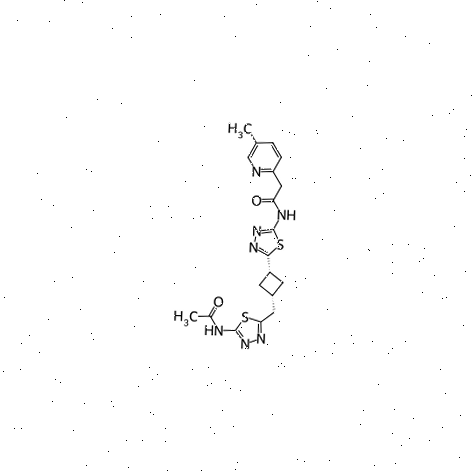 CC(=O)Nc1nnc(C[C@H]2C[C@@H](c3nnc(NC(=O)Cc4ccc(C)cn4)s3)C2)s1